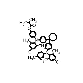 C=C(C)C(=O)Oc1ccc(N(c2ccc(C3(c4ccc(N(c5ccc(C)cc5)c5c(C)cc(C)cc5C)cc4)CCCCCC3)cc2)c2c(C)cc(C)cc2C)cc1